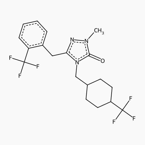 Cn1nc(Cc2ccccc2C(F)(F)F)n(CC2CCC(C(F)(F)F)CC2)c1=O